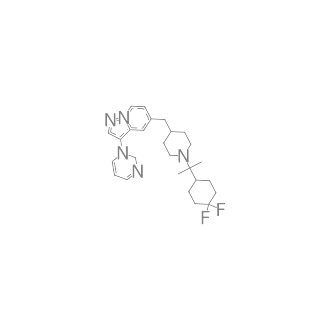 CC(C)(C1CCC(F)(F)CC1)N1CCC(Cc2ccn3ncc(N4C=CC=NC4)c3c2)CC1